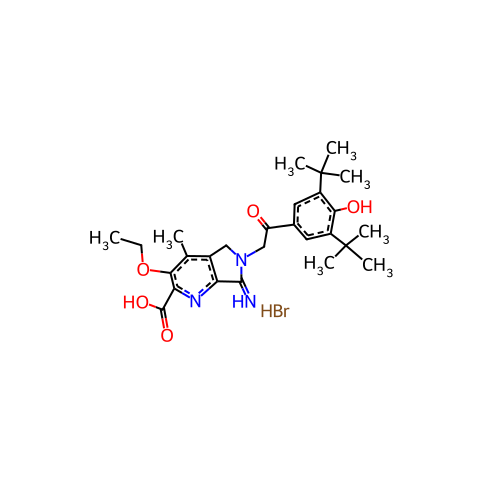 Br.CCOc1c(C(=O)O)nc2c(c1C)CN(CC(=O)c1cc(C(C)(C)C)c(O)c(C(C)(C)C)c1)C2=N